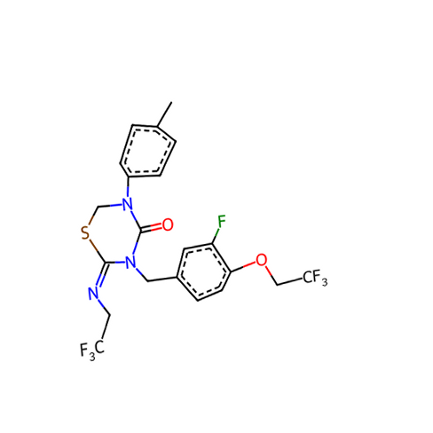 Cc1ccc(N2CS/C(=N/CC(F)(F)F)N(Cc3ccc(OCC(F)(F)F)c(F)c3)C2=O)cc1